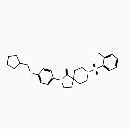 O=C1N(c2ccc(OCC3CCCC3)cc2)CCC12CCN(S(=O)(=O)c1ccccc1Cl)CC2